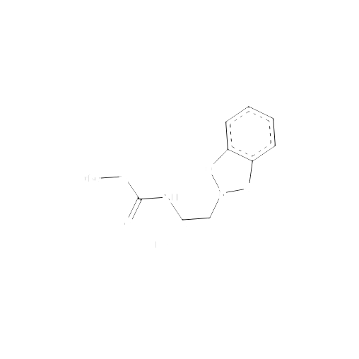 C[C@@H](CN1Oc2ccccc2O1)NC(=O)OC(C)(C)C